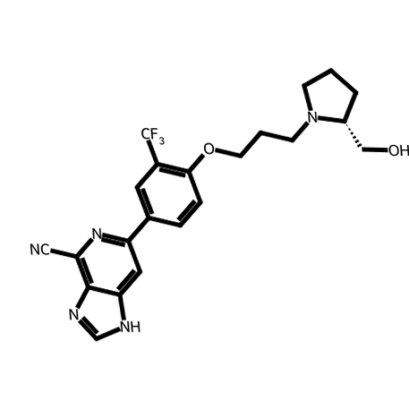 N#Cc1nc(-c2ccc(OCCCN3CCC[C@@H]3CO)c(C(F)(F)F)c2)cc2[nH]cnc12